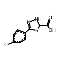 O=C(O)C1NN=C(c2ccc(Cl)cc2)S1